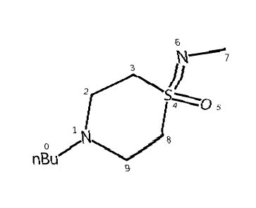 CCCCN1CCS(=O)(=NC)CC1